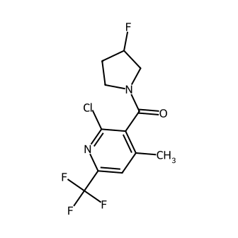 Cc1cc(C(F)(F)F)nc(Cl)c1C(=O)N1CCC(F)C1